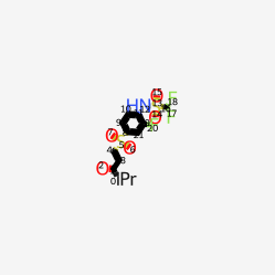 CC(C)C(=O)C=CS(=O)(=O)c1ccc(NS(=O)(=O)C(F)F)c(F)c1